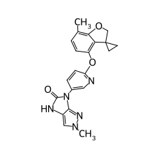 Cc1ccc(Oc2ccc(-n3c(=O)[nH]c4cn(C)nc43)cn2)c2c1OCC21CC1